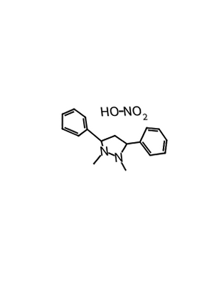 CN1C(c2ccccc2)CC(c2ccccc2)N1C.O=[N+]([O-])O